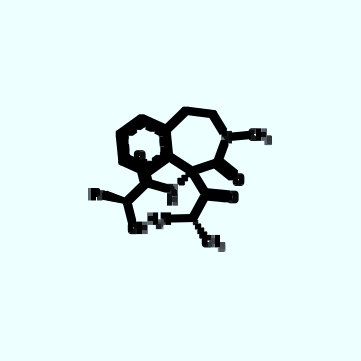 CC(C)[C@H](O)C(=O)N[C@@]1(C(=O)[C@H](C)N)C(=O)N(C)CCc2ccccc21